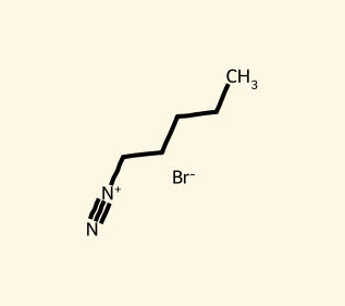 CCCCC[N+]#N.[Br-]